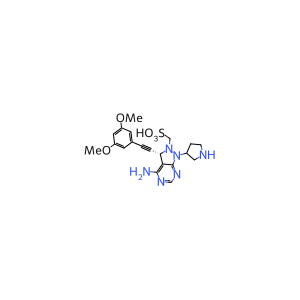 COc1cc(C#C[C@H]2c3c(N)ncnc3N(C3CCNC3)N2CS(=O)(=O)O)cc(OC)c1